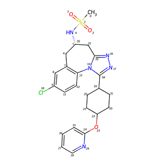 CS(=O)(=O)N[C@H]1Cc2cc(Cl)ccc2-n2c(nnc2C2CCC(Oc3ccccn3)CC2)C1